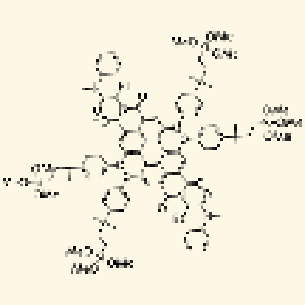 CCC(C(=O)N(C)c1ccccc1)N1C(=O)c2cc(Oc3ccc(C(C)(C)CC[Si](OC)(OC)OC)cc3)c3c4c(Oc5ccc(C(C)(C)CC[Si](OC)(OC)OC)cc5)cc5c6c(cc(Oc7ccc(C(C)(C)CC[Si](OC)(OC)OC)cc7)c(c7c(Oc8ccc(C(C)(C)CC[Si](OC)(OC)OC)cc8)cc(c2c37)C1=O)c64)C(O)N(C(CC)C(=O)N(C)c1ccccc1)C5=O